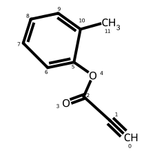 C#CC(=O)Oc1ccccc1C